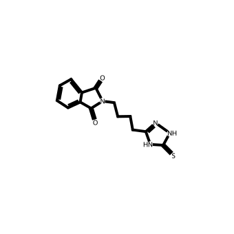 O=C1c2ccccc2C(=O)N1CCCCc1n[nH]c(=S)[nH]1